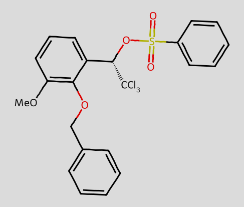 COc1cccc([C@H](OS(=O)(=O)c2ccccc2)C(Cl)(Cl)Cl)c1OCc1ccccc1